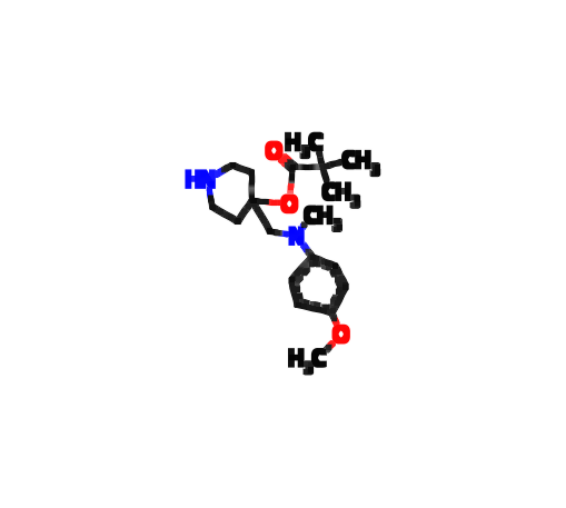 COc1ccc(N(C)CC2(OC(=O)C(C)(C)C)CCNCC2)cc1